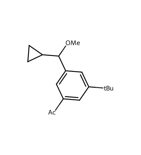 COC(c1cc(C(C)=O)cc(C(C)(C)C)c1)C1CC1